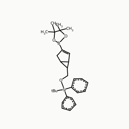 CC1(C)OB(C2=CC3C(CO[Si](c4ccccc4)(c4ccccc4)C(C)(C)C)C3C2)OC1(C)C